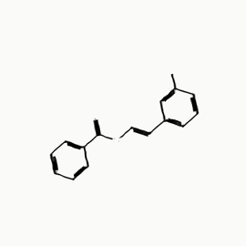 O=C(N/C=C/c1cccc(F)c1)c1ccccc1